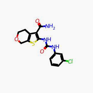 NC(=O)c1c(NC(=O)Nc2cccc(Cl)c2)sc2c1CCOC2